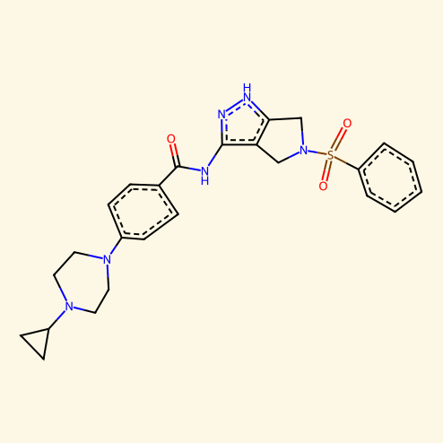 O=C(Nc1n[nH]c2c1CN(S(=O)(=O)c1ccccc1)C2)c1ccc(N2CCN(C3CC3)CC2)cc1